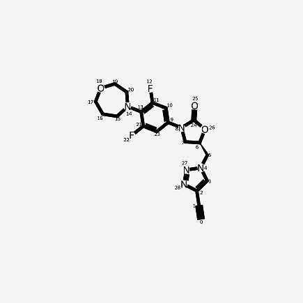 C#Cc1cn(C[C@H]2CN(c3cc(F)c(N4CCCOCC4)c(F)c3)C(=O)O2)nn1